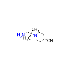 CC(C)(CN)N1CCC(C#N)CC1